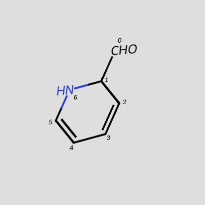 O=C[C]1C=CC=CN1